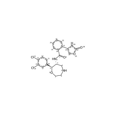 O=C(N[C@@H]1CNCCO[C@H]1c1ccc(Cl)c(Cl)c1)c1ccccc1-c1coc(=O)[nH]1